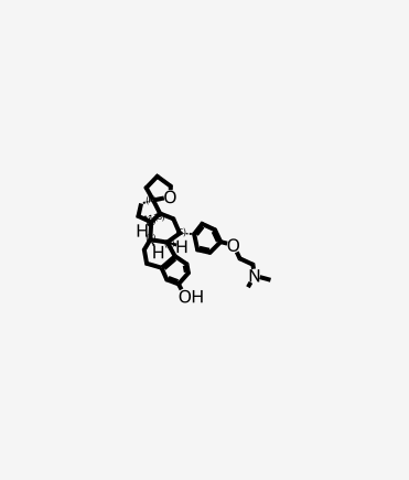 CN(C)CCOc1ccc([C@H]2C[C@@]3(C)[C@@H](CC[C@@]34CCCO4)[C@@H]3CCc4cc(O)ccc4[C@H]32)cc1